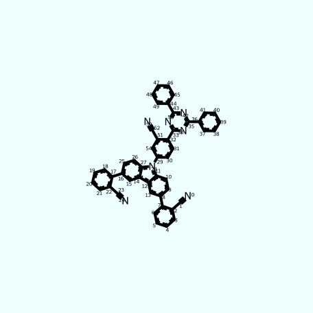 N#Cc1ccccc1-c1ccc2c(c1)c1cc(-c3ccccc3C#N)ccc1n2-c1ccc(-c2nc(-c3ccccc3)nc(-c3ccccc3)n2)c(C#N)c1